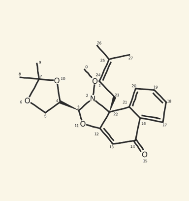 CON1[C@H](C2COC(C)(C)O2)OC2=CC(=O)c3ccccc3[C@]21CC=C(C)C